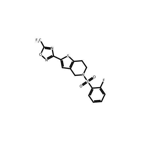 O=S(=O)(c1ccccc1F)N1CCc2sc(-c3noc(C(F)(F)F)n3)cc2C1